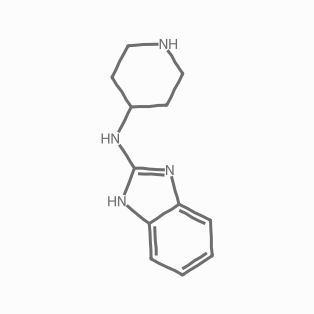 c1ccc2[nH]c(NC3CCNCC3)nc2c1